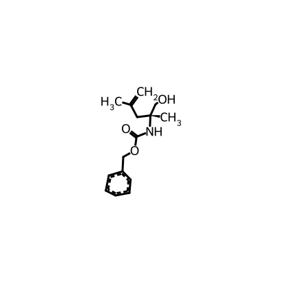 C=C(C)C[C@](C)(CO)NC(=O)OCc1ccccc1